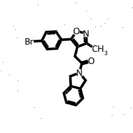 Cc1noc(-c2ccc(Br)cc2)c1CC(=O)N1Cc2ccccc2C1